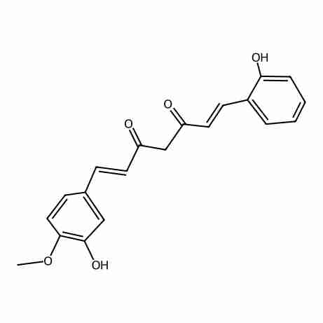 COc1ccc(C=CC(=O)CC(=O)C=Cc2ccccc2O)cc1O